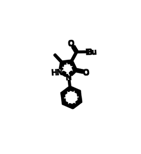 CCC(C)C(=O)c1c(C)[nH]n(-c2ccccc2)c1=O